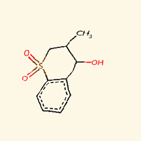 CC1CS(=O)(=O)c2ccccc2C1O